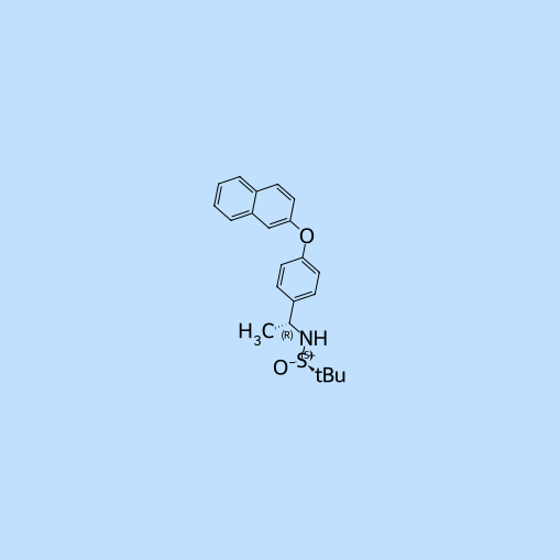 C[C@@H](N[S@+]([O-])C(C)(C)C)c1ccc(Oc2ccc3ccccc3c2)cc1